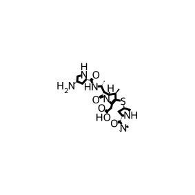 C[C@@H](NC(=O)[C@@H]1C[C@H](N)CN1)[C@H]1C(=O)N2C(CC(=O)O)=C(S[C@@H]3CN[C@H](C(=O)N(C)C)C3)[C@H](C)[C@@H]12